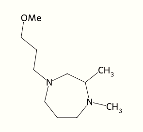 COCCCN1CCCN(C)C(C)C1